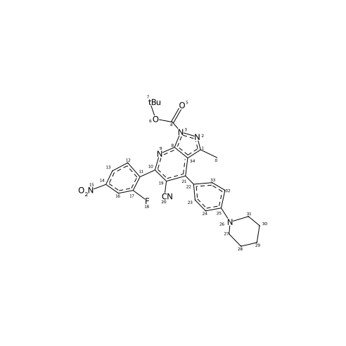 Cc1nn(C(=O)OC(C)(C)C)c2nc(-c3ccc([N+](=O)[O-])cc3F)c(C#N)c(-c3ccc(N4CCCCC4)cc3)c12